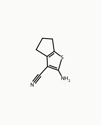 N#Cc1c(N)sc2c1CCC2